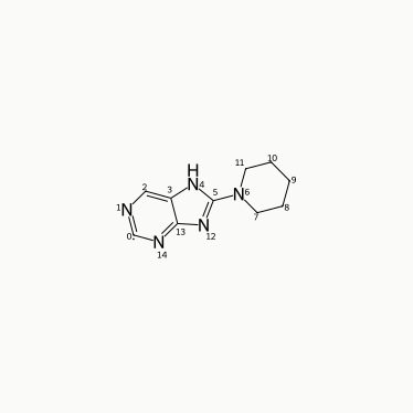 [c]1ncc2[nH]c(N3CCCCC3)nc2n1